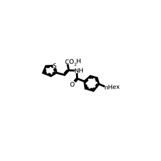 CCCCCCc1ccc(C(=O)NC(=Cc2cccs2)C(=O)O)cc1